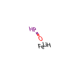 O=P.[Fe].[LiH]